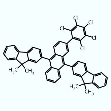 CC1(C)c2ccccc2-c2ccc(-c3c4ccccc4c(-c4ccc5c(c4)C(C)(C)c4ccccc4-5)c4cc(-c5c(Cl)c(Cl)c(Cl)c(Cl)c5Cl)ccc34)cc21